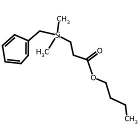 CCCCOC(=O)CC[Si](C)(C)Cc1ccccc1